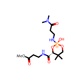 COC(=O)CCNC(=O)[C@@H]1O[PH](O)(NCCC(=O)N(C)C)OCC1(C)C